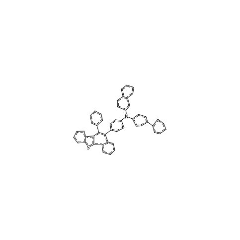 c1ccc(-c2ccc(N(c3ccc(-c4c(-c5ccccc5)c5c6ccccc6sc5c5ccccc45)cc3)c3ccc4ccccc4c3)cc2)cc1